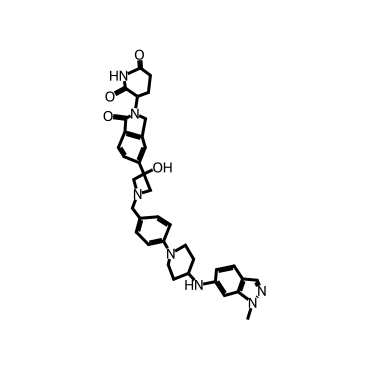 Cn1ncc2ccc(NC3CCN(c4ccc(CN5CC(O)(c6ccc7c(c6)CN(C6CCC(=O)NC6=O)C7=O)C5)cc4)CC3)cc21